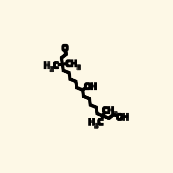 CC(C)(CC=O)CCCCCC(O)CCCCCC(C)(C)CCO